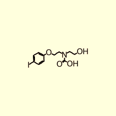 O=C(O)N(CCO)CCOc1ccc(I)cc1